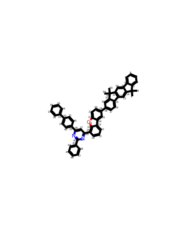 CC1(C)c2ccccc2-c2cc3c(cc21)-c1ccc(-c2ccc4oc5c(-c6cc(-c7ccc(-c8ccccc8)cc7)nc(-c7ccccc7)n6)cccc5c4c2)cc1C3(C)C